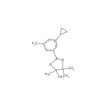 CC1(C)OB(c2cc(C3CC3)cc(C(F)(F)F)c2)OC1(C)C